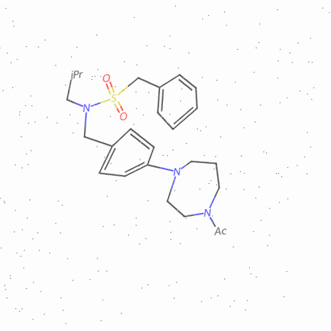 CC(=O)N1CCCN(c2ccc(CN(CC(C)C)S(=O)(=O)Cc3ccccc3)cc2)CC1